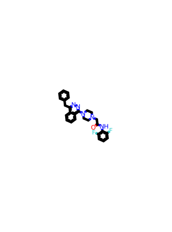 O=C(CN1CCN(c2nnc(Cc3ccccc3)c3ccccc23)CC1)Nc1c(F)cccc1F